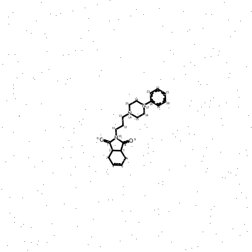 O=C1C2CC=CCC2C(=O)N1CCCN1CCN(c2ccccc2)CC1